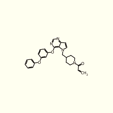 C=CC(=O)N1CCC(Cn2ccc3ncnc(Oc4cccc(Oc5ccccc5)c4)c32)CC1